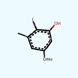 COc1cc(C)c(I)c(O)c1